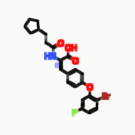 O=C(CCC1CCCC1)N/C(=C/c1ccc(Oc2cc(F)ccc2Br)cc1)C(=O)O